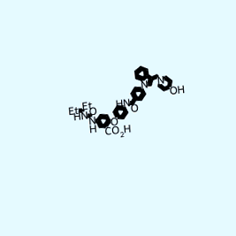 CCC(CC)NC(=O)Nc1ccc(Oc2ccc(NC(=O)c3ccc(-n4cc(CN5CCC(O)CC5)c5ccccc54)cc3)cc2)c(C(=O)O)c1